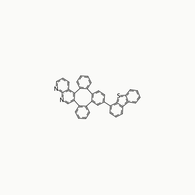 c1ccc2c(c1)-c1cc(-c3cccc4c3sc3ccccc34)ccc1-c1ccccc1-c1c-2cnc2ncccc12